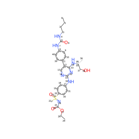 CCCCNC(=O)Nc1ccc(-c2cnc(Nc3ccc(S(C)(=O)=NC(=O)OCC)cc3)nc2N[C@H](C)CO)cc1